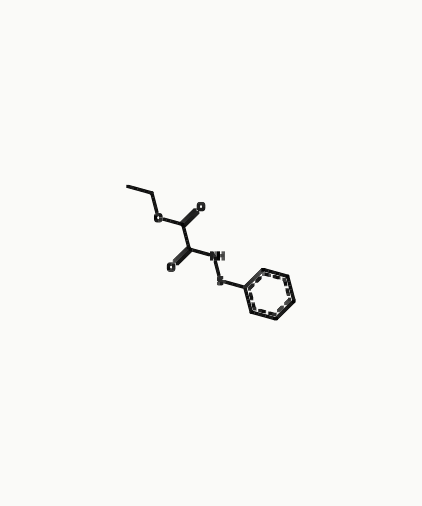 CCOC(=O)C(=O)NSc1ccccc1